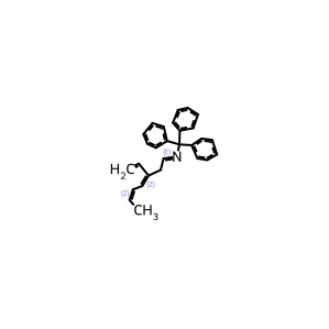 C=C/C(=C\C=C/C)C/C=N/C(c1ccccc1)(c1ccccc1)c1ccccc1